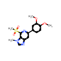 COc1ccc(-c2cc3ncn(C)c3c(S(C)(=O)=O)n2)cc1OC